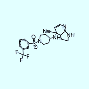 N#CC1(NC2CCN(S(=O)(=O)c3cccc(C(F)(F)F)c3)CC2)C=CN=C2NCCC21